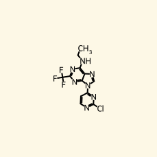 CCNc1nc(C(F)(F)F)nc2c1ncn2-c1ccnc(Cl)n1